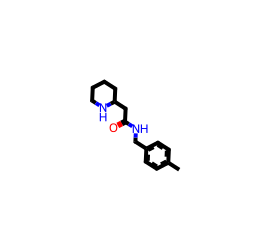 Cc1ccc(CNC(=O)CC2CCCCN2)cc1